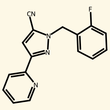 N#Cc1cc(-c2ccccn2)nn1Cc1ccccc1F